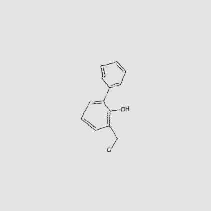 Oc1c(CCl)cccc1-c1ccccc1